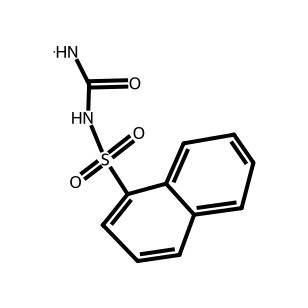 [NH]C(=O)NS(=O)(=O)c1cccc2ccccc12